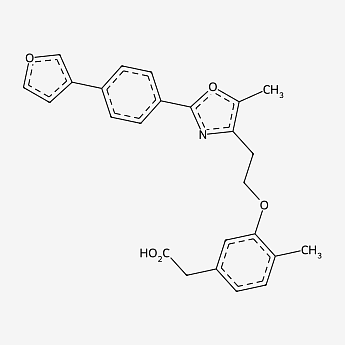 Cc1ccc(CC(=O)O)cc1OCCc1nc(-c2ccc(-c3ccoc3)cc2)oc1C